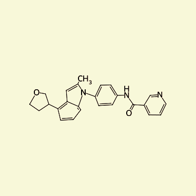 Cc1cc2c(C3CCOC3)cccc2n1-c1ccc(NC(=O)c2cccnc2)cc1